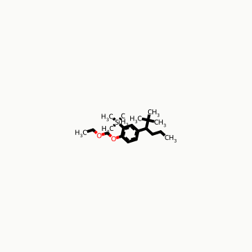 CCCC(c1ccc(OCOCC)c([Si](C)(C)C)c1)C(C)(C)C